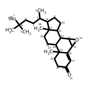 CC(CCC(C)(C)C(C)(C)C)C1CCC2C3C4OC4C4=CC(=O)CCC4(C)C3CCC12C